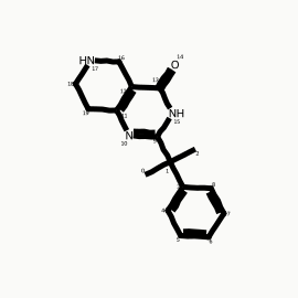 CC(C)(c1ccccc1)c1nc2c(c(=O)[nH]1)CNCC2